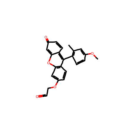 COc1ccc(-c2c3ccc(=O)cc-3oc3cc(OCC=O)ccc23)c(C)c1